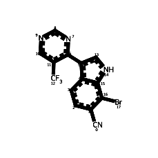 N#Cc1ccc2c(-c3ncncc3C(F)(F)F)c[nH]c2c1Br